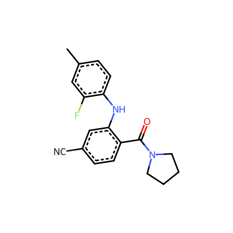 Cc1ccc(Nc2cc(C#N)ccc2C(=O)N2CCCC2)c(F)c1